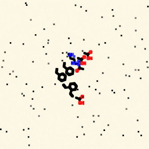 C=Cc1ccccc1.C=Cc1ccccc1.C=Cc1ccccc1C=C.CC(=O)NNCCN.CC(=O)O.CC(=O)O.CC(=O)O